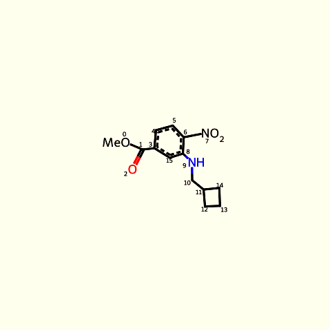 COC(=O)c1ccc([N+](=O)[O-])c(NCC2CCC2)c1